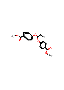 CCC(Oc1ccc(C(=O)OC)cc1)Oc1ccc(C(=O)OC)cc1